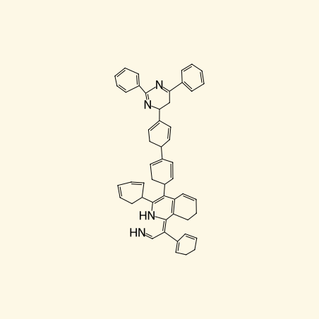 N=C/C(C1=CCCC=C1)=C1\NC(C2C=CC=CC2)=C(C2C=CC(C3C=CC(C4CC(c5ccccc5)=NC(c5ccccc5)=N4)=CC3)=CC2)C2=C1CCC=C2